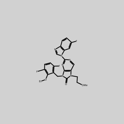 CCOc1c(F)ccc(F)c1Cn1c(=O)n(CCOC)c2cnc(-n3cnc4ccc(F)cc43)nc21